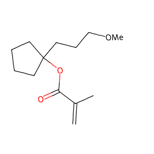 C=C(C)C(=O)OC1(CCCOC)CCCC1